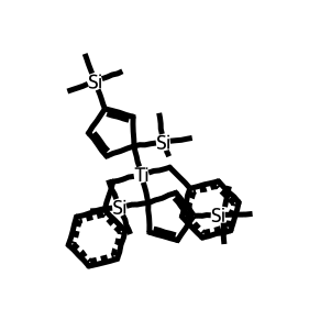 C[Si](C)(C)C1=C[C]([Si](C)(C)C)([Ti]([CH2]c2ccccc2)([CH2]c2ccccc2)[C]2([Si](C)(C)C)C=CC([Si](C)(C)C)=C2)C=C1